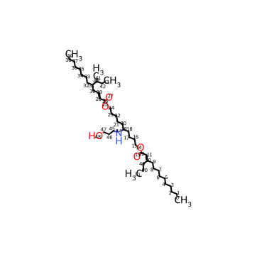 CCCCCCCCCC/C(=C/C(=O)OCCCCC(CCCCCOC(=O)/C=C/CC(CCCCCCCC)C(C)CC)NCCCO)CCC